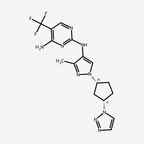 Cc1nn([C@@H]2CC[C@H](n3ccnn3)C2)cc1Nc1ncc(C(F)(F)F)c(N)n1